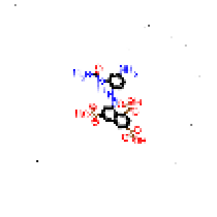 NC(=O)Nc1cc(N)ccc1N=Nc1cc(S(=O)(=O)O)cc2cc(S(=O)(=O)O)cc(S(=O)(=O)O)c12